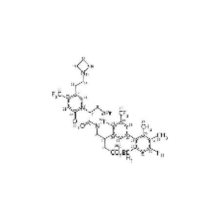 CCOC(=O)CC(C=NC(=O)C(CC(C)C)n1cc(CCN2CCC2)c(C(F)(F)F)cc1=O)c1c(F)c(-c2c(C)cc(F)c(C)c2C)cc(C(F)(F)F)c1F